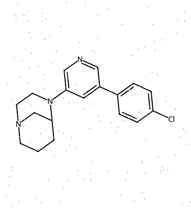 Clc1ccc(-c2cncc(N3CCN4CCCC3C4)c2)cc1